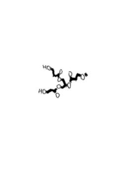 COCCC(=O)OC(COC(=O)CCO)COC(=O)CCO